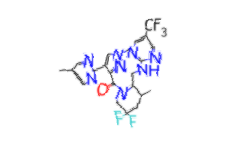 Cc1cnc(-c2cn(C)nc2C(=O)N2CC(F)(F)CC(C)C2CNc2ncc(C(F)(F)F)cn2)nc1